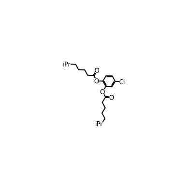 CC(C)CCCCC(=O)Oc1ccc(Cl)cc1OC(=O)CCCCC(C)C